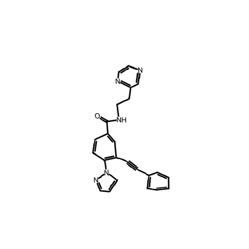 O=C(NCCc1cnccn1)c1ccc(-n2cccn2)c(C#Cc2ccccc2)c1